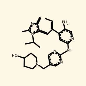 C=c1nc(C)n(C(C)C)/c1=C/C(=C\C)c1cc(Nc2ncc(CN3CCC(O)CC3)cn2)ncc1P